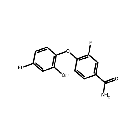 CCc1ccc(Oc2ccc(C(N)=O)cc2F)c(O)c1